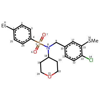 CCc1ccc(S(=O)(=O)N(Cc2ccc(Cl)c(SC)c2)C2CCOCC2)cc1